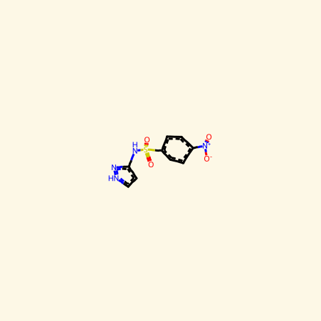 O=[N+]([O-])c1ccc(S(=O)(=O)Nc2cc[nH]n2)cc1